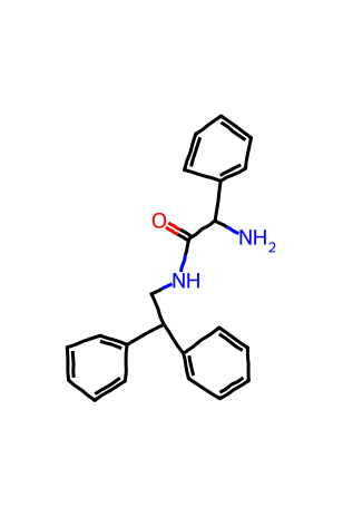 NC(C(=O)NCC(c1ccccc1)c1ccccc1)c1ccccc1